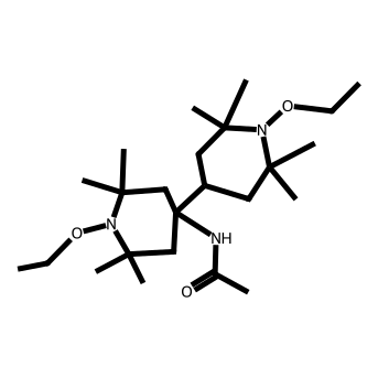 CCON1C(C)(C)CC(C2(NC(C)=O)CC(C)(C)N(OCC)C(C)(C)C2)CC1(C)C